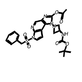 CC(=O)Oc1nc2cnc3c(ccn3S(=O)(=O)Cc3ccccc3)c2n1N1CC(NC(=O)OC(C)(C)C)C1